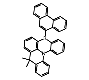 CC1(C)c2ccccc2N2c3ccccc3B(c3cc4ccccc4c4ccccc34)c3cccc1c32